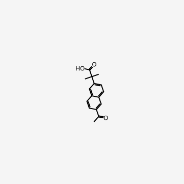 CC(=O)c1ccc2cc(C(C)(C)C(=O)O)ccc2c1